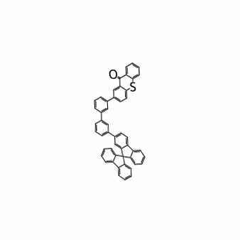 O=c1c2ccccc2sc2ccc(-c3cccc(-c4cccc(-c5ccc6c(c5)C5(c7ccccc7-c7ccccc75)c5ccccc5-6)c4)c3)cc12